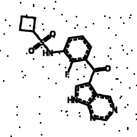 O=C(c1cccc(NS(=O)(=O)C2CCC2)c1F)c1c[nH]c2ncncc12